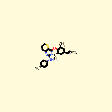 Cc1cc(/C=C/C#N)cc(C)c1Oc1nc(Nc2ccc(C#N)cc2)nc2c1SCCC2